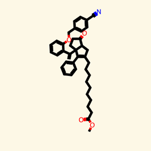 C=C(c1ccccc1OCc1ccc(C#N)cc1)C12CCC(=O)C1CC(CCCCCCCCCC(=O)OC)=C2c1ccccc1